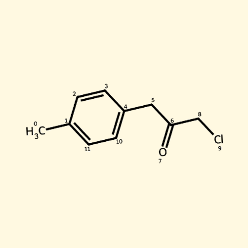 Cc1ccc(CC(=O)CCl)cc1